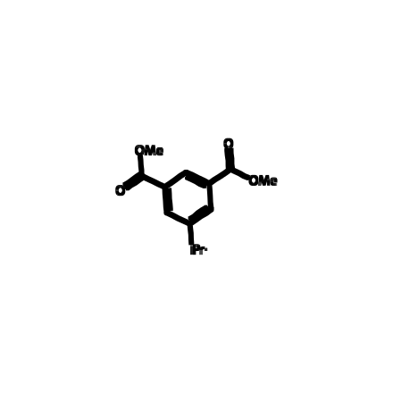 COC(=O)c1cc([C](C)C)cc(C(=O)OC)c1